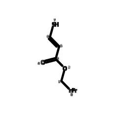 CCCCOC(=O)C=CS